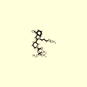 COCCCN1c2cccc(Cl)c2CC1C1CCCN(C(=O)OC(C)(C)C)C1